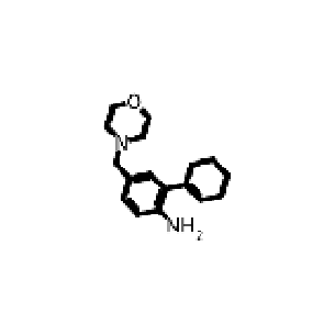 Nc1ccc(CN2CCOCC2)cc1C1=CCCCC1